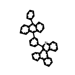 c1ccc(-c2c3ccccc3c(-c3cccc(-c4nc5ccccc5c5c6ccccc6c6ccccc6c45)c3)c3ccccc23)cc1